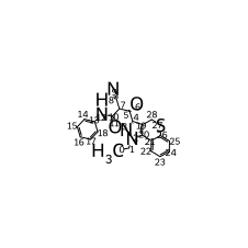 CCn1nc(C(=O)C(C#N)C(=O)Nc2ccccc2)c2c1-c1ccccc1SC2